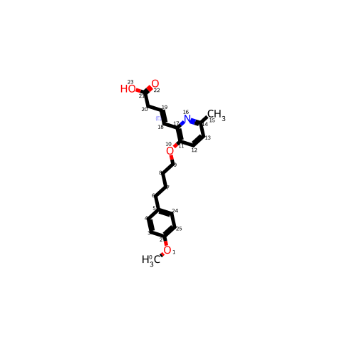 COc1ccc(CCCCOc2ccc(C)nc2/C=C/CC(=O)O)cc1